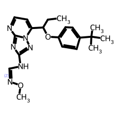 CCC(Oc1ccc(C(C)(C)C)cc1)c1ccnc2nc(N/C=N\OC)nn12